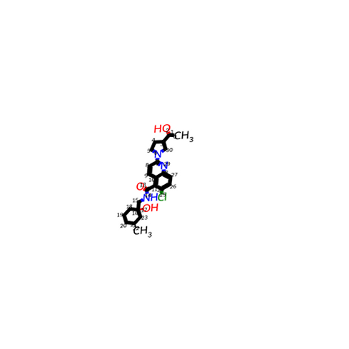 CC(O)C1CCN(c2ccc3c(C(=O)NC[C@@]4(O)CCC[C@@H](C)C4)c(Cl)ccc3n2)C1